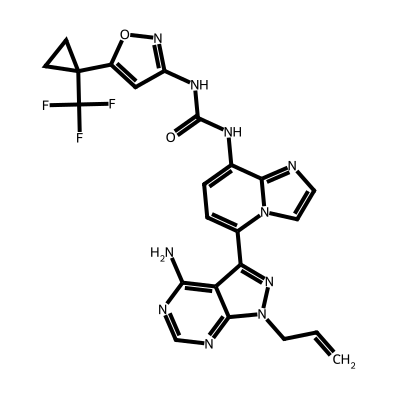 C=CCn1nc(-c2ccc(NC(=O)Nc3cc(C4(C(F)(F)F)CC4)on3)c3nccn23)c2c(N)ncnc21